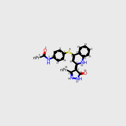 CCCC(=O)Nc1ccc(SC2=CC(=C3C(=O)NN=C3CCC)Nc3ccccc32)cc1